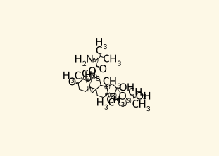 CC(C)[C@H](N)C(=O)O[C@H]1CC2C3(CC[C@]4(C)[C@@H]([C@@]5(C)CC[C@@H](C(C)(C)O)O5)[C@@H](O)C[C@@]24C)C[C@@]32CCC(=O)C(C)(C)[C@H]12